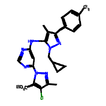 CCOC(=O)c1c(Cl)c(C)nn1-c1cc(Nc2c(C)c(-c3ccc(C(F)(F)F)cc3)nn2CC2CC2)ncn1